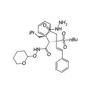 CCCCS(=O)(=O)C(/C=C/c1ccccc1)(Cc1ccccc1)[C@H](C(=O)NOC1CCCCO1)[C@@H](CC(C)C)C(=O)NN